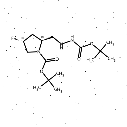 CC(C)(C)OC(=O)NNC[C@@H]1C[C@@H](F)CN1C(=O)OC(C)(C)C